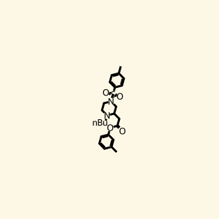 CCCCN1CCN(S(=O)(=O)c2ccc(C)cc2)CC1CC(=O)Oc1cccc(C)c1